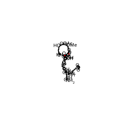 CO[C@H]1/C=C/O[C@@]2(C)Oc3c(C)c(O)c4c(=O)c(c5oc6cc(N7CCC([N+](C)(C)Cc8ccc(NC(=O)[C@H](CCCNC(N)=O)NC(=O)[C@@H](NC(=O)CCCCCN9C(=O)C=CC9=O)C(C)C)cc8)C(F)C7)cc(O)c6nc-5c4c3C2=O)NC(=O)/C(C)=C\C=C\[C@H](C)[C@H](O)[C@@H](C)[C@@H](O)[C@@H](C)[C@H](OC(C)=O)[C@@H]1C